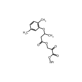 CCCOC(=O)C(=O)COC(=O)CC(C)Oc1cc(C)ccc1C